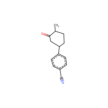 CC1CCC(c2ccc(C#N)cc2)CC1=O